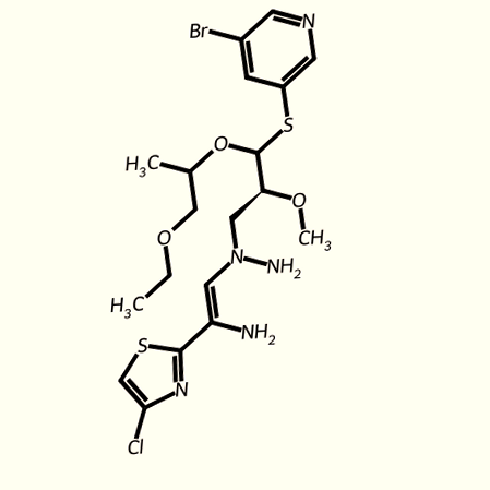 CCOCC(C)OC(Sc1cncc(Br)c1)[C@H](CN(N)/C=C(\N)c1nc(Cl)cs1)OC